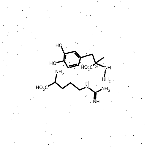 C[C@@](Cc1ccc(O)c(O)c1)(NN)C(=O)O.N=C(N)NCCCC(N)C(=O)O